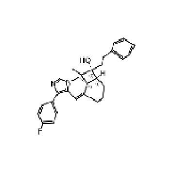 CC1[C@]23Cn4cnc(-c5ccc(F)cc5)c4C=C2CCC[C@@H]3[C@]1(O)CCc1ccccc1